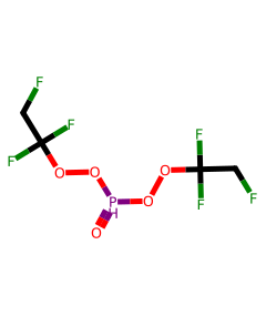 O=[PH](OOC(F)(F)CF)OOC(F)(F)CF